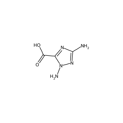 Nc1nc(C(=O)O)n(N)n1